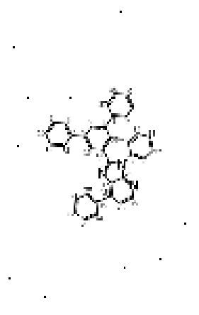 c1ccc(-c2cc(-c3ccccc3)cc(-c3nc4c(-c5ccccc5)ccnc4n3-c3ccccc3)c2)cc1